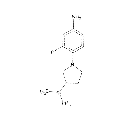 CN(C)C1CCN(c2ccc(N)cc2F)C1